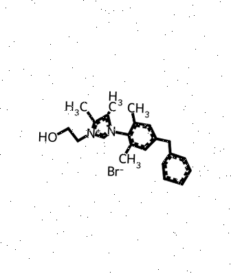 Cc1cc(Cc2ccccc2)cc(C)c1-n1c[n+](CCO)c(C)c1C.[Br-]